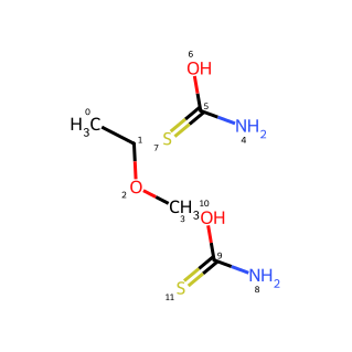 CCOC.NC(O)=S.NC(O)=S